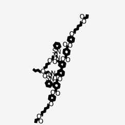 C=CC(=O)OCCCCCCOc1ccc(OC(=O)C2CCC(C(=O)Oc3ccc(-c4ccc(OC(=O)C5CCC(C(=O)Oc6ccc(OCCCCCCOC(=O)C=C)cc6)CC5)c(/C=N/N(CC(=O)OCCCC)c5nc6ccccc6s5)c4)cc3/C=N/N(CC(=O)OCCCC)c3nc4ccccc4s3)CC2)cc1